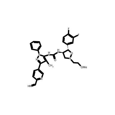 COCCN1C[C@@H](NC(=O)Nc2c(C)c(-c3ccc(C=N)nc3)nn2-c2ccccc2)[C@H](c2ccc(F)c(F)c2)O1